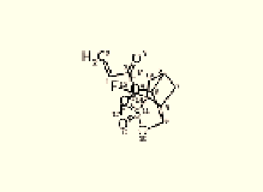 C=CC(=O)OC1C2CC3C1OS(=O)(=O)C3(C(F)(F)F)C2